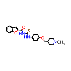 CN1CCC(COc2ccc(NC(=S)NC(=O)c3cc4ccccc4o3)cc2)CC1